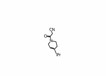 CC(C)C1=CCN(C(=O)CC#N)CC1